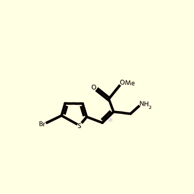 COC(=O)/C(=C\c1ccc(Br)s1)CN